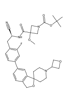 COC1(C(=O)N[C@H](C#N)Cc2ccc(-c3ccc4c(c3)C3(CCN(C5COC5)CC3)OC4)cc2F)CN(C(=O)OC(C)(C)C)C1